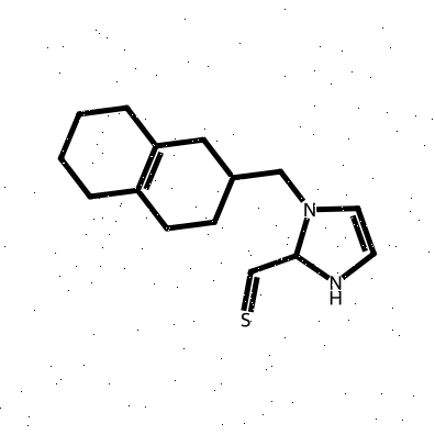 S=CC1NC=CN1CC1CCC2=C(CCCC2)C1